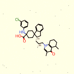 Cc1cn(C[C@H](C)C[C@H]2Cc3ccccc3C23CCC(Nc2cccc(Cl)c2)(C(=O)O)CC3)c2c(c1=O)C(C)CCC2